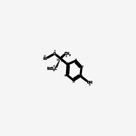 CCOC(=O)[C@@](C)(OCC)c1ccc(O)cc1